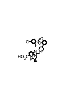 O=C(O)c1ccc2nc(CN3CCC(c4cccc5c4O[C@@H](c4ccc(Cl)cc4F)CO5)CC3)n(CC3(CF)CC3)c2n1